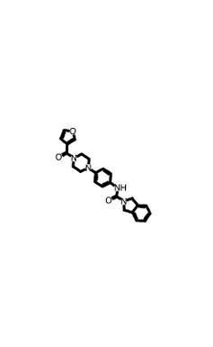 O=C(Nc1ccc(N2CCN(C(=O)c3ccoc3)CC2)cc1)N1Cc2ccccc2C1